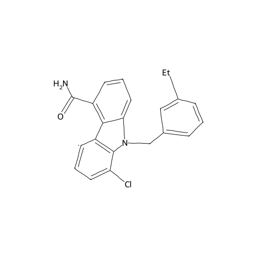 CCc1cccc(Cn2c3cccc(C(N)=O)c3c3[c]ccc(Cl)c32)c1